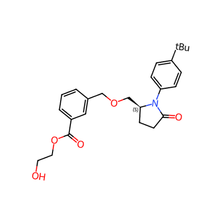 CC(C)(C)c1ccc(N2C(=O)CC[C@H]2COCc2cccc(C(=O)OCCO)c2)cc1